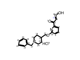 Cl.O=C(/C=N/O)c1cccc(OCC2CCN(Cc3ccccc3)CC2)n1